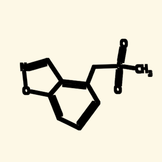 CS(=O)(=O)Cc1cccc2oncc12